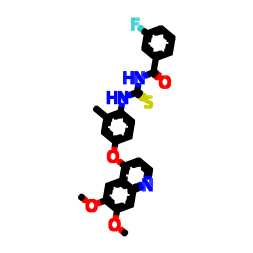 COc1cc2nccc(Oc3ccc(NC(=S)NC(=O)c4cccc(F)c4)c(C)c3)c2cc1OC